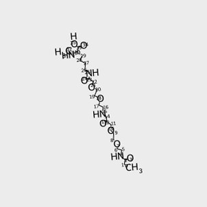 CCC(=O)NCCOCCOCC(=O)CNCCOCCOCC(=O)NCCCC[C@H](NC)C(=O)O